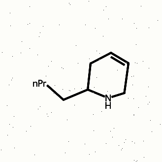 [CH2]CCCC1CC=CCN1